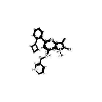 CCc1c(C)c2nc(-c3ccccc3C3CCC3)cc(NCC3=CNCC=C3)c2n1C(C)C